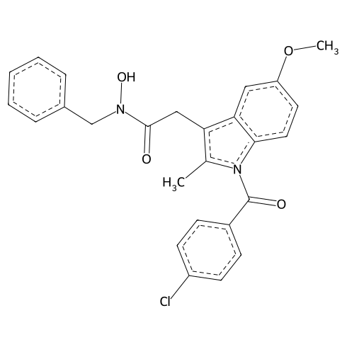 COc1ccc2c(c1)c(CC(=O)N(O)Cc1ccccc1)c(C)n2C(=O)c1ccc(Cl)cc1